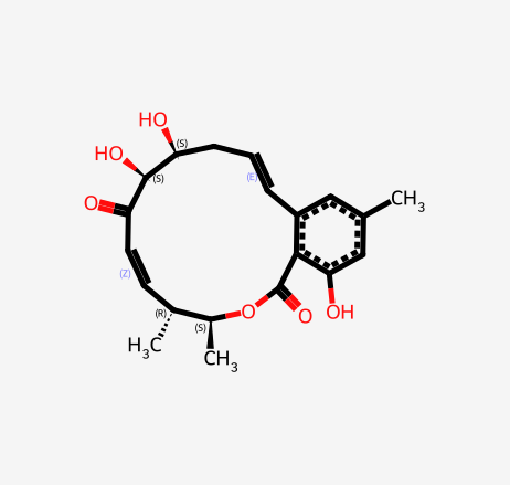 Cc1cc(O)c2c(c1)/C=C/C[C@H](O)[C@H](O)C(=O)/C=C\[C@@H](C)[C@H](C)OC2=O